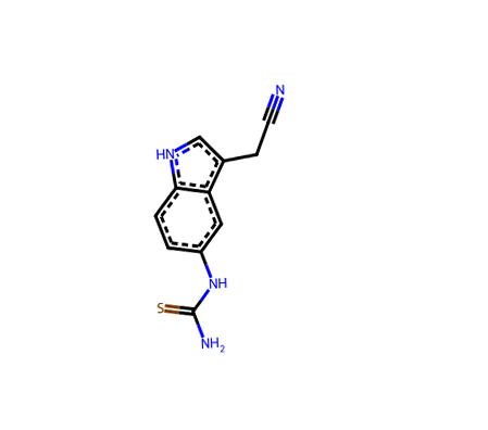 N#CCc1c[nH]c2ccc(NC(N)=S)cc12